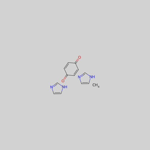 C.O=C1C=CC(=O)C=C1.c1c[nH]cn1.c1c[nH]cn1